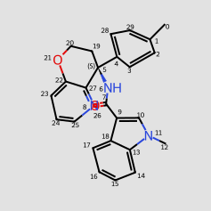 Cc1ccc([C@@]2(NC(=O)c3cn(C)c4ccccc34)CCOc3cccnc32)cc1